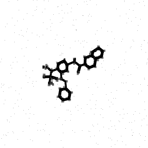 CN(c1ccc(NC(=O)c2ccc3ccccc3c2)cc1OCc1ccccc1)S(C)(=O)=O